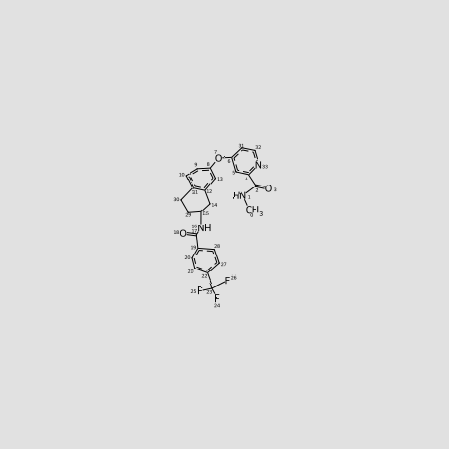 CNC(=O)c1cc(Oc2ccc3c(c2)CC(NC(=O)c2ccc(C(F)(F)F)cc2)CC3)ccn1